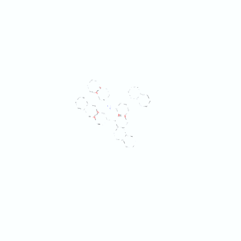 c1ccc(-c2cccc3cccc(-c4ccccc4N(c4cccc(-c5cccc6ccccc56)c4)c4ccccc4-c4cccc5c4ccc4ccccc45)c23)cc1